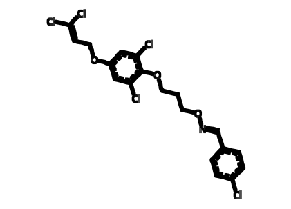 ClC(Cl)=CCOc1cc(Cl)c(OCCCO/N=C/c2ccc(Cl)cc2)c(Cl)c1